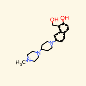 CN1CCN(C2CCN(c3ccc4ccc(O)c(CO)c4c3)CC2)CC1